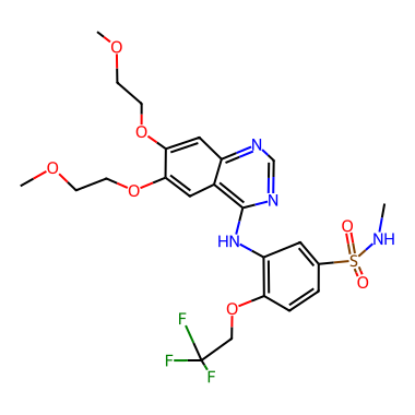 CNS(=O)(=O)c1ccc(OCC(F)(F)F)c(Nc2ncnc3cc(OCCOC)c(OCCOC)cc23)c1